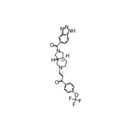 O=C(/C=C/N1CC[C@@H]2CN(C(=O)c3ccc4[nH]nnc4c3)C[C@H]2C1)c1ccc(OC(F)(F)F)cc1